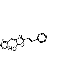 OC1OC(/C=C/c2ccccc2)=NC/1=C/c1cccs1